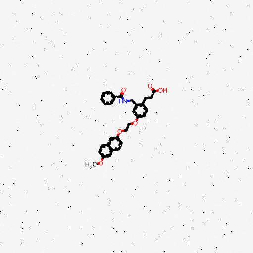 COc1ccc2cc(OCCOc3ccc(CCC(=O)O)c(CNC(=O)c4ccccc4)c3)ccc2c1